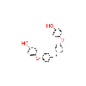 Oc1ccc(Oc2ccc(Cc3ccc(Oc4ccc(O)cc4)cc3)cc2)cc1